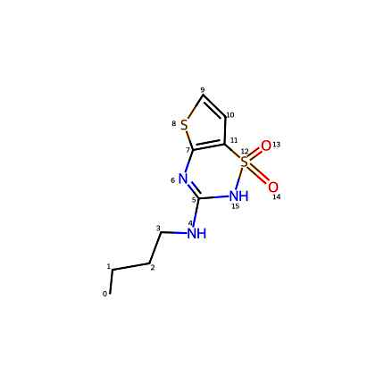 CCCCNC1=Nc2sccc2S(=O)(=O)N1